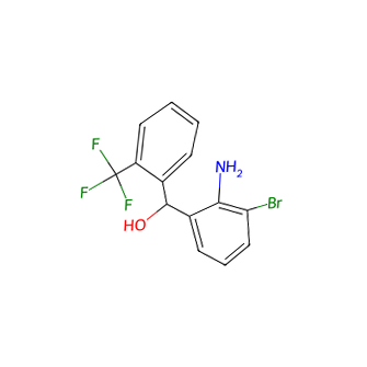 Nc1c(Br)cccc1C(O)c1ccccc1C(F)(F)F